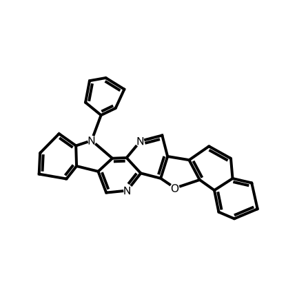 c1ccc(-n2c3ccccc3c3cnc4c(ncc5c6ccc7ccccc7c6oc54)c32)cc1